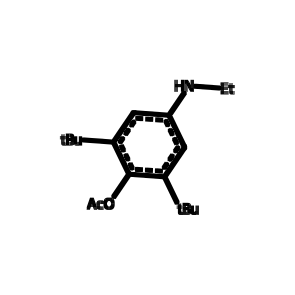 CCNc1cc(C(C)(C)C)c(OC(C)=O)c(C(C)(C)C)c1